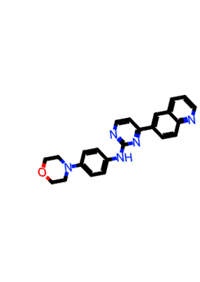 c1cnc2ccc(-c3ccnc(Nc4ccc(N5CCOCC5)cc4)n3)cc2c1